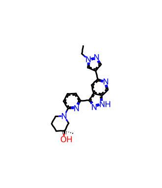 CCn1cc(-c2cc3c(-c4cccc(N5CCC[C@](C)(O)C5)n4)n[nH]c3cn2)cn1